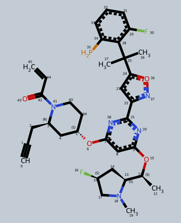 C#CC[C@@H]1C[C@@H](Oc2cc(O[C@@H](C)[C@@H]3C[C@H](F)CN3C)nc(-c3cc(C(C)(C)c4c(F)cccc4P)on3)n2)CCN1C(=O)C=C